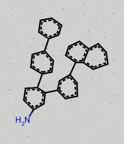 Nc1ccc(-c2ccc(-c3ccccc3)cc2)c(-c2cccc(-c3cccc4ccccc34)c2)c1